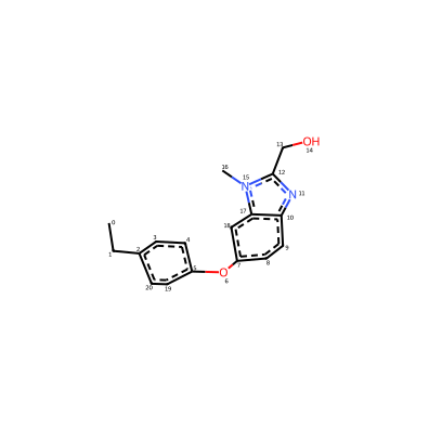 CCc1ccc(Oc2ccc3nc(CO)n(C)c3c2)cc1